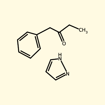 CCC(=O)Cc1ccccc1.c1cn[nH]c1